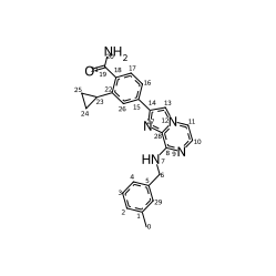 Cc1cccc(CNc2nccn3cc(-c4ccc(C(N)=O)c(C5CC5)c4)nc23)c1